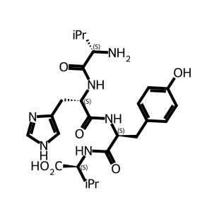 CC(C)[C@H](N)C(=O)N[C@@H](Cc1c[nH]cn1)C(=O)N[C@@H](Cc1ccc(O)cc1)C(=O)N[C@H](C(=O)O)C(C)C